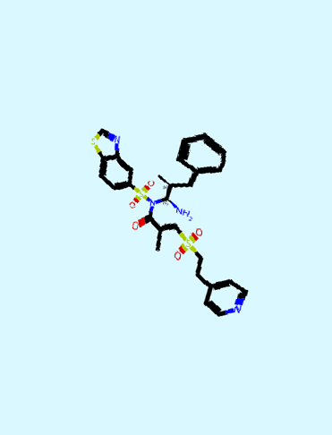 CC(CS(=O)(=O)CCc1ccncc1)C(=O)N([C@H](N)[C@@H](C)Cc1ccccc1)S(=O)(=O)c1ccc2scnc2c1